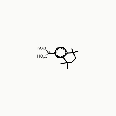 CCCCCCCC[C@H](C(=O)O)c1ccc2c(c1)C(C)(C)CCC2(C)C